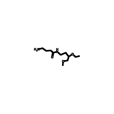 CCOC(CCNC(=O)CCCN)COC